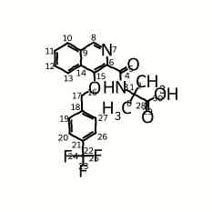 CC(C)(NC(=O)c1ncc2ccccc2c1OCc1ccc(C(F)(F)F)cc1)C(=O)O